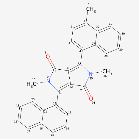 Cc1ccc(C2=C3C(=O)N(C)C(c4cccc5ccccc45)=C3C(=O)N2C)c2ccccc12